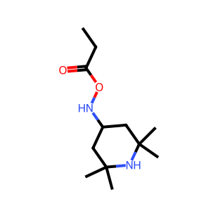 CCC(=O)ONC1CC(C)(C)NC(C)(C)C1